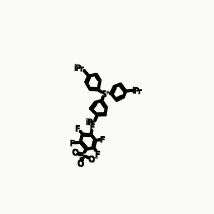 CC(C)c1ccc([S+](c2ccc(C(C)C)cc2)c2ccc(C(C)C)cc2)cc1.O=S(=O)([O-])c1c(F)c(F)c(F)c(F)c1F